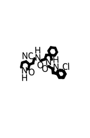 N#CC(CC1CCCNC1=O)NC(=O)C1CC2(CCCCC2)CN1C(=O)c1cc2cccc(Cl)c2[nH]1